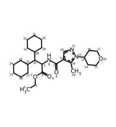 CCOC(=O)C(NC(=O)c1cnn(C2CCOCC2)c1C)C(C1CCCCC1)C1CCCCC1